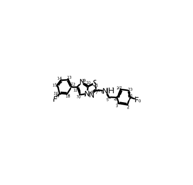 Fc1ccc(CNc2nn3cc(-c4cccc(F)c4)nc3s2)cc1